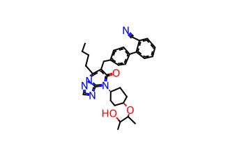 CCCCc1c(Cc2ccc(-c3ccccc3C#N)cc2)c(=O)n([C@H]2CC[C@H](OC(C)C(C)O)CC2)c2ncnn12